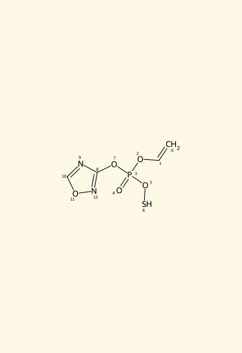 C=COP(=O)(OS)Oc1ncon1